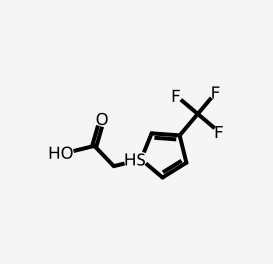 O=C(O)C[SH]1C=CC(C(F)(F)F)=C1